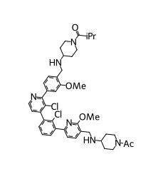 COc1cc(-c2nccc(-c3cccc(-c4ccc(CNC5CCN(C(C)=O)CC5)c(OC)n4)c3Cl)c2Cl)ccc1CNC1CCN(C(=O)C(C)C)CC1